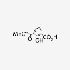 COCC(=O)c1cccc(C(=O)O)c1O